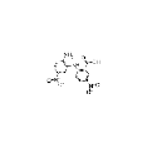 Nc1ccc([N+](=O)[O-])cc1Nc1ccc([N+](=O)[O-])cc1C(=O)O